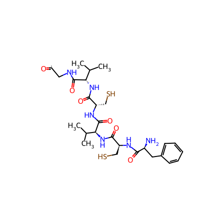 CC(C)[C@H](NC(=O)[C@H](CS)NC(=O)[C@@H](NC(=O)[C@H](CS)NC(=O)[C@@H](N)Cc1ccccc1)C(C)C)C(=O)NC[C]=O